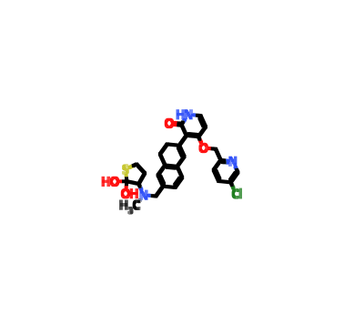 CN(Cc1ccc2c(c1)CCC(c1c(OCc3ccc(Cl)cn3)cc[nH]c1=O)=C2)C1CCSC1(O)O